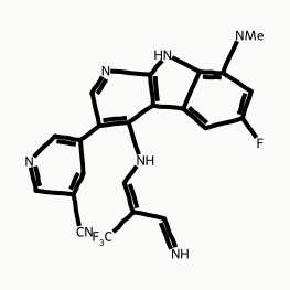 CNc1cc(F)cc2c1[nH]c1ncc(-c3cncc(C#N)c3)c(N/C=C(\C=N)C(F)(F)F)c12